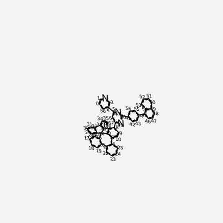 c1cncc(-c2cc(-c3ccc4c(c3)C3(c5ccccc5-c5ccccc5-4)c4ccccc4-c4ccccc43)nc(-c3ccc(-c4cccc5ccccc45)cc3)n2)c1